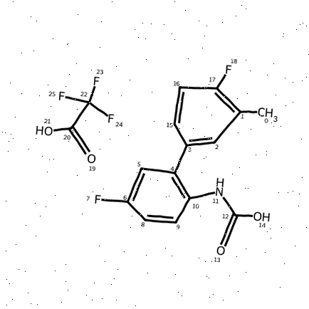 Cc1cc(-c2cc(F)ccc2NC(=O)O)ccc1F.O=C(O)C(F)(F)F